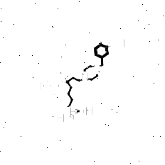 Cc1cc(CN2CCN(CCC(N)(CCCCB(O)O)C(=O)O)CC2)ccc1Cl